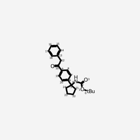 CC(C)(C)OC(=O)NC1(c2ccc(C(=O)Cc3ccccc3)cc2)CCCC1